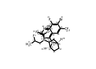 CC(F)CN(C(=O)OC(C)(C)C)C1C[C@H]2CC[C@@H]1N2c1nc(F)nc2c(F)c(Br)c(C(F)(F)F)cc12